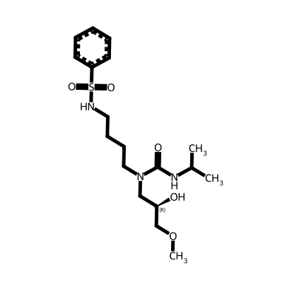 COC[C@H](O)CN(CCCCNS(=O)(=O)c1ccccc1)C(=O)NC(C)C